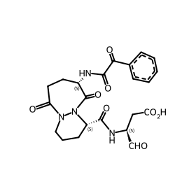 O=C[C@H](CC(=O)O)NC(=O)[C@@H]1CCCN2C(=O)CC[C@H](NC(=O)C(=O)c3ccccc3)C(=O)N12